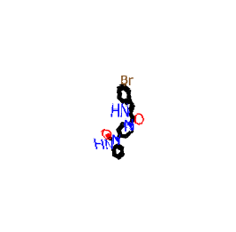 O=C(c1cc2cc(Br)ccc2[nH]1)N1CCC(n2c(=O)[nH]c3ccccc32)CC1